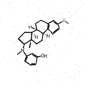 COc1ccc2c(c1)CC[C@@H]1[C@@H]2CC[C@]2(C)[C@@H](N(C)c3cccc(O)c3)CC[C@@H]12